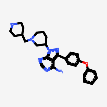 Nc1ncnc2c1c(-c1ccc(Oc3ccccc3)cc1)nn2C1CCCN(CC2CCNCC2)C1